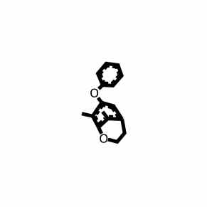 Cc1c2cc(Oc3ccccc3)c(C)c1OCC2